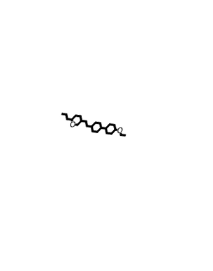 CCCC1CCC(CCC2CCC(C3CCC(OCC)CC3)CC2)CO1